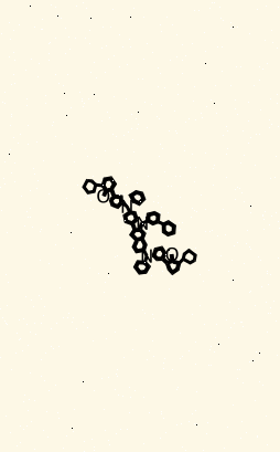 c1ccc(-c2cccc(-n3c4cc(N(c5ccccc5)c5ccc6oc7c(C8CCCCC8)cccc7c6c5)ccc4c4cc5ccc(N(c6ccccc6)c6ccc7oc8c(C9CCCCC9)cccc8c7c6)cc5cc43)c2)cc1